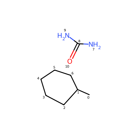 CC1CCCCC1.NC(N)=O